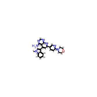 Cn1cc(-c2cc(-c3ccc(N4CCOCC4)nc3)nc3ncnc(N)c23)c2ccccc21